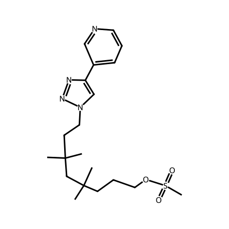 CC(C)(CCCOS(C)(=O)=O)CC(C)(C)CCn1cc(-c2cccnc2)nn1